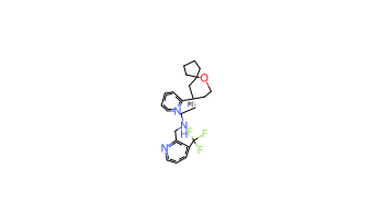 FC(F)(F)c1cccnc1CNCC[C@@]1(c2ccccn2)CCOC2(CCCC2)C1